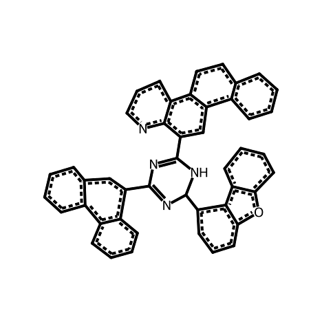 c1ccc2c(c1)cc(C1=NC(c3cccc4oc5ccccc5c34)NC(c3cc4c5ccccc5ccc4c4cccnc34)=N1)c1ccccc12